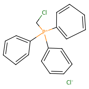 ClC[P+](c1ccccc1)(c1ccccc1)c1ccccc1.[Cl-]